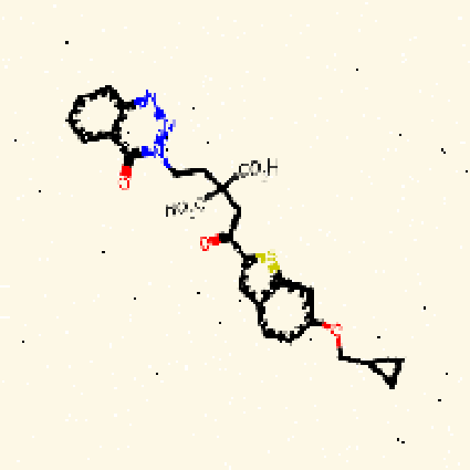 O=C(CC(CCn1nnc2ccccc2c1=O)(C(=O)O)C(=O)O)c1cc2ccc(OCC3CC3)cc2s1